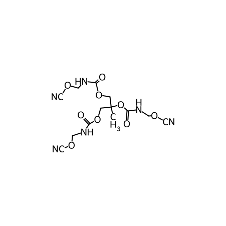 CC(COC(=O)NCOC#N)(COC(=O)NCOC#N)OC(=O)NCOC#N